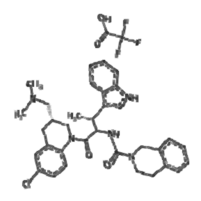 CC(c1c[nH]c2ccccc12)C(NC(=O)N1CCc2ccccc2C1)C(=O)N1C[C@@H](CN(C)C)Cc2cc(Cl)ccc21.O=C(O)C(F)(F)F